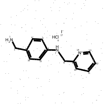 Cl.NCc1ccc(NCC2=CC=CC=[N+]2)cc1.[I-]